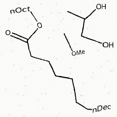 CC(O)CO.CCCCCCCCCCCCCCCC(=O)OCCCCCCCC.COC